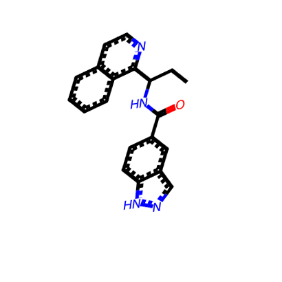 CCC(NC(=O)c1ccc2[nH]ncc2c1)c1nccc2ccccc12